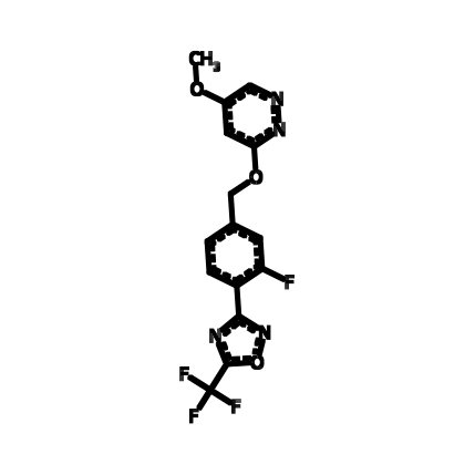 COc1cnnc(OCc2ccc(-c3noc(C(F)(F)F)n3)c(F)c2)c1